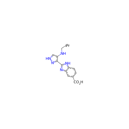 CC(C)CNc1c[nH]nc1-c1nc2cc(C(=O)O)ccc2[nH]1